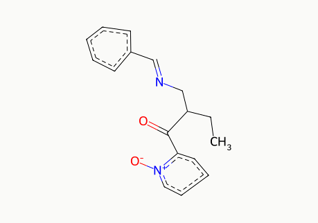 CCC(CN=Cc1ccccc1)C(=O)c1cccc[n+]1[O-]